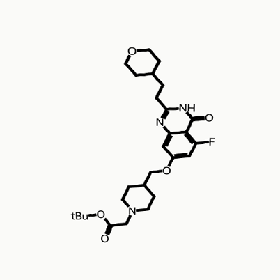 CC(C)(C)OC(=O)CN1CCC(COc2cc(F)c3c(=O)[nH]c(CCC4CCOCC4)nc3c2)CC1